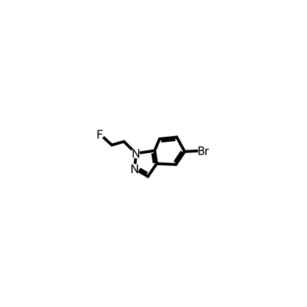 FCCn1ncc2cc(Br)ccc21